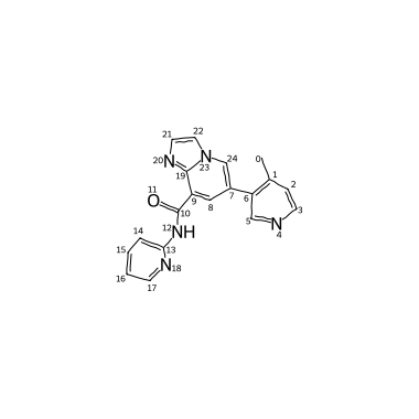 Cc1ccncc1-c1cc(C(=O)Nc2ccccn2)c2nccn2c1